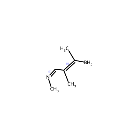 B/C(C)=C(C)/C=N\C